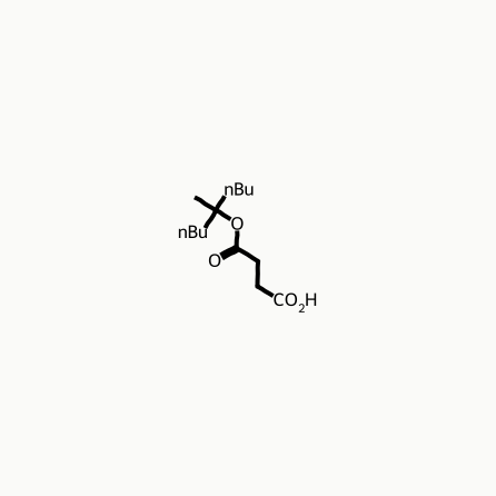 CCCCC(C)(CCCC)OC(=O)CCC(=O)O